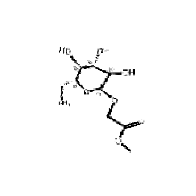 COC(=O)CO[C@H]1O[C@H](CN)[C@@H](O)[C@H](O)[C@H]1O